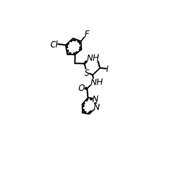 CC(I)C(NC(=O)c1cccnn1)SC(=N)Cc1cc(F)cc(Cl)c1